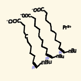 CCCC/C=C\CCCCCCCC(=O)[O-].CCCC/C=C\CCCCCCCC(=O)[O-].CCCC/C=C\CCCCCCCC(=O)[O-].[Pr+3]